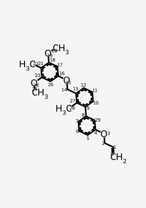 C=CCOc1cccc(-c2cccc(COc3cc(OC)c(C)c(OC)c3)c2C)c1